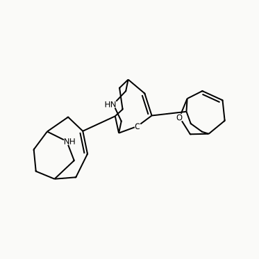 C1=CC2OCC(C1)CCC2/C1=C/C2CCC(/C3=C/CC4CCC(C3)NC4)C(CNC2)C1